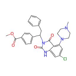 COC(=O)c1ccc(C(Cc2ccccc2)n2c(=O)[nH]c3cc(Cl)cc(N4CCN(C)CC4)c3c2=O)cc1